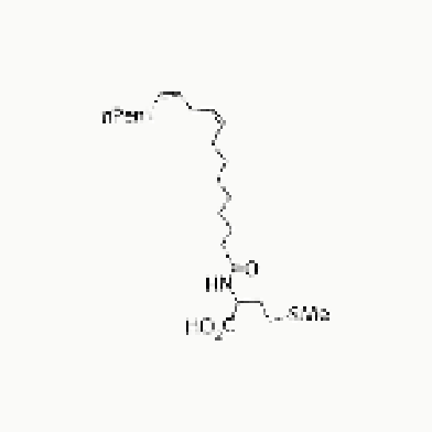 CCCCC/C=C\C/C=C\CCCCCCCC(=O)NC(CCSC)C(=O)O